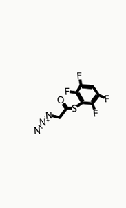 [N-]=[N+]=NCC(=O)Sc1c(F)c(F)cc(F)c1F